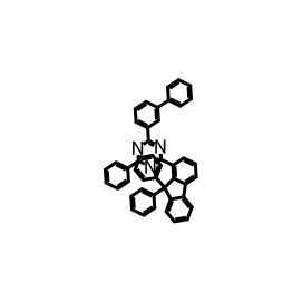 c1ccc(-c2cccc(-c3nc(-c4ccccc4)nc(-c4cccc5c4C(c4ccccc4)(c4ccccc4)c4ccccc4-5)n3)c2)cc1